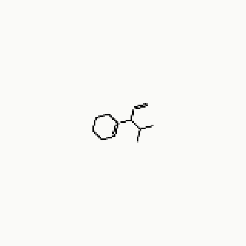 C=CC(C1=CCCCC1)C(C)C